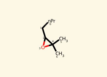 CCCCC1OC1(C)C